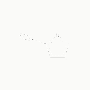 C#Cc1ccsn1